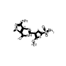 CCCc1nn(C)c2c(=O)[nH]c(-c3cc(S(N)(=O)=O)sc3OCC)nc12